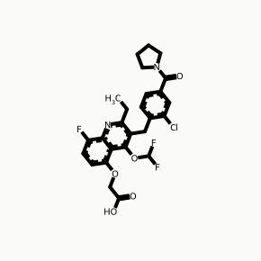 CCc1nc2c(F)ccc(OCC(=O)O)c2c(OC(F)F)c1Cc1ccc(C(=O)N2CCCC2)cc1Cl